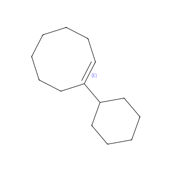 C1=C(/C2CCCCC2)CCCCCC/1